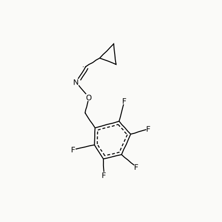 Fc1c(F)c(F)c(CO/N=[C]\C2CC2)c(F)c1F